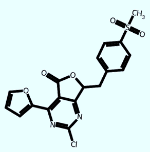 CS(=O)(=O)c1ccc(CC2OC(=O)c3c(-c4ccco4)nc(Cl)nc32)cc1